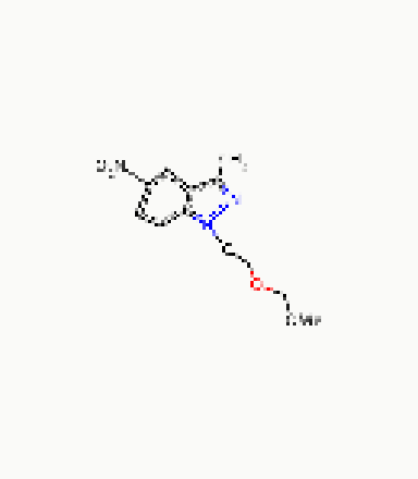 COCOCCn1nc(C)c2cc([N+](=O)[O-])ccc21